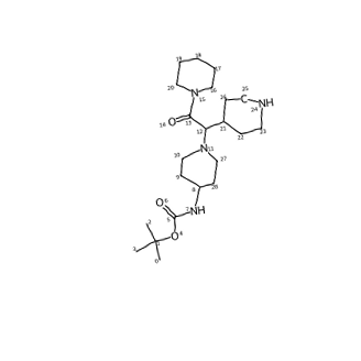 CC(C)(C)OC(=O)NC1CCN(C(C(=O)N2CCCCC2)C2CCNCC2)CC1